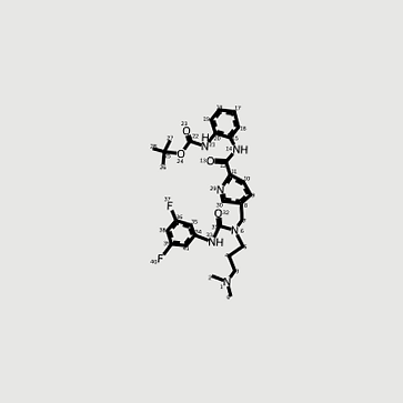 CN(C)CCCN(Cc1ccc(C(=O)Nc2ccccc2NC(=O)OC(C)(C)C)nc1)C(=O)Nc1cc(F)cc(F)c1